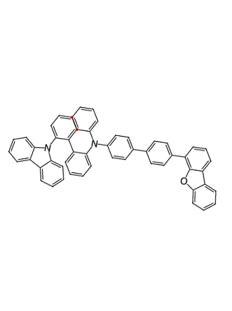 c1ccc(N(c2ccc(-c3ccc(-c4cccc5c4oc4ccccc45)cc3)cc2)c2ccccc2-c2ccccc2-n2c3ccccc3c3ccccc32)cc1